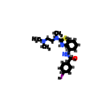 CN(C)CCN(C)c1nc2c(NC(=O)c3ccc(I)cc3)cccc2s1